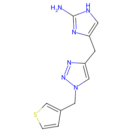 Nc1nc(Cc2cn(Cc3ccsc3)nn2)c[nH]1